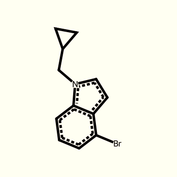 Brc1cccc2c1ccn2CC1CC1